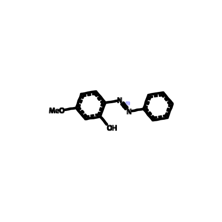 COc1ccc(/N=N/c2ccccc2)c(O)c1